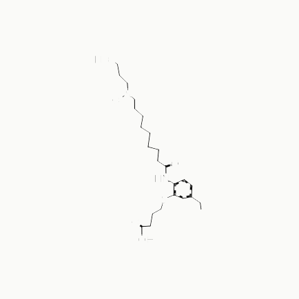 CCCC[S+]([O-])CCCCCCCCC(=O)Nc1ccc(CF)cc1SCCCC(=O)O